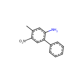 Cc1cc(N)c(-c2ccccc2)cc1[N+](=O)[O-]